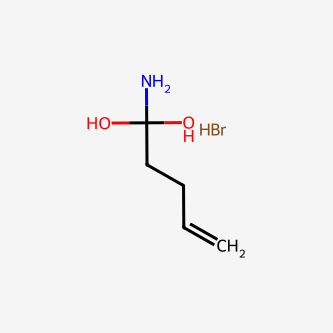 Br.C=CCCC(N)(O)O